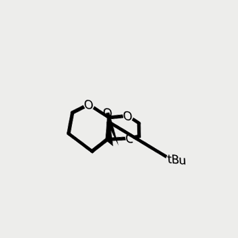 CC(C)(C)C1COC23OCCCC2(CCCO3)C1